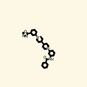 O=C(Nc1cccc(-[n+]2ccc(-c3cc[n+](-c4cccc(-c5nnco5)c4)cc3)cc2)c1)c1ccccc1